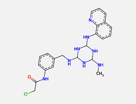 CNC1NC(NCc2cccc(NC(=O)CCl)c2)NC(Nc2cccc3cccnc23)N1